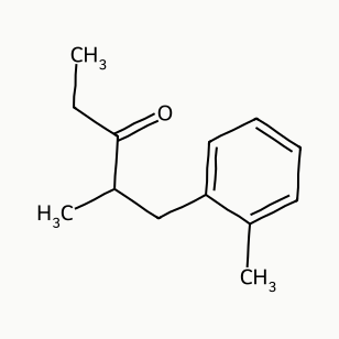 CCC(=O)C(C)Cc1ccccc1C